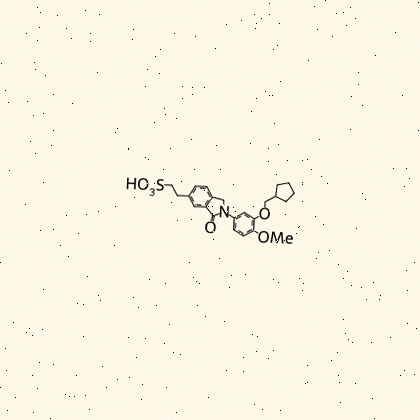 COc1ccc(N2Cc3ccc(CCS(=O)(=O)O)cc3C2=O)cc1OCC1CCCC1